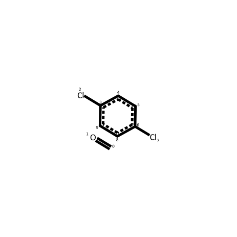 C=O.Clc1ccc(Cl)cc1